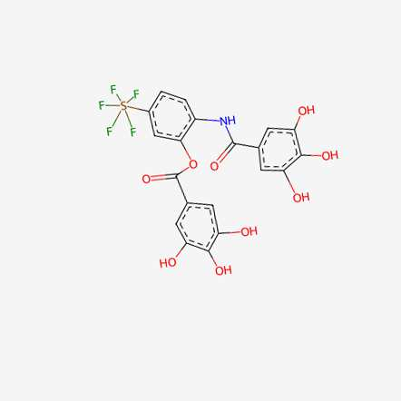 O=C(Nc1ccc(S(F)(F)(F)(F)F)cc1OC(=O)c1cc(O)c(O)c(O)c1)c1cc(O)c(O)c(O)c1